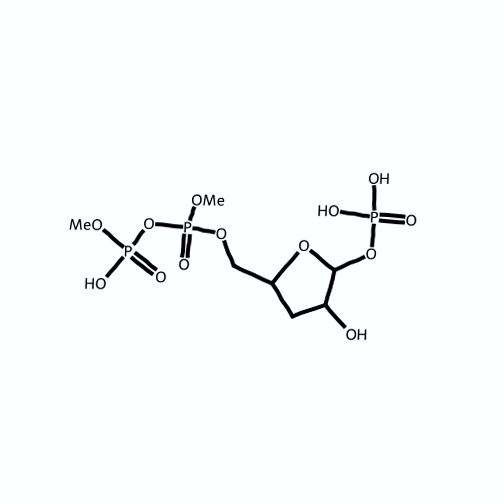 COP(=O)(O)OP(=O)(OC)OCC1CC(O)C(OP(=O)(O)O)O1